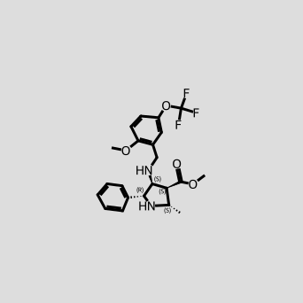 COC(=O)[C@@H]1[C@H](NCc2cc(OC(F)(F)F)ccc2OC)[C@@H](c2ccccc2)N[C@H]1C